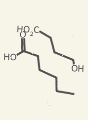 CCCCCC(=O)O.O=C(O)CCCO